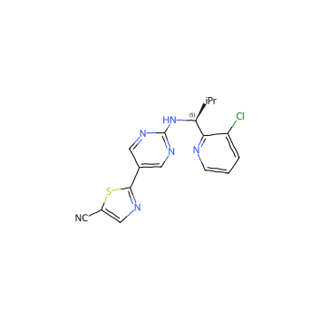 CC(C)[C@H](Nc1ncc(-c2ncc(C#N)s2)cn1)c1ncccc1Cl